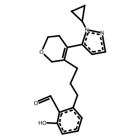 O=Cc1c(O)cccc1CCCC1=C(c2ccnn2C2CC2)CCOC1